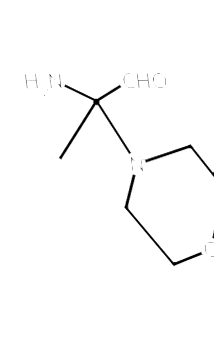 [CH2]C(N)(C=O)N1CCOCC1